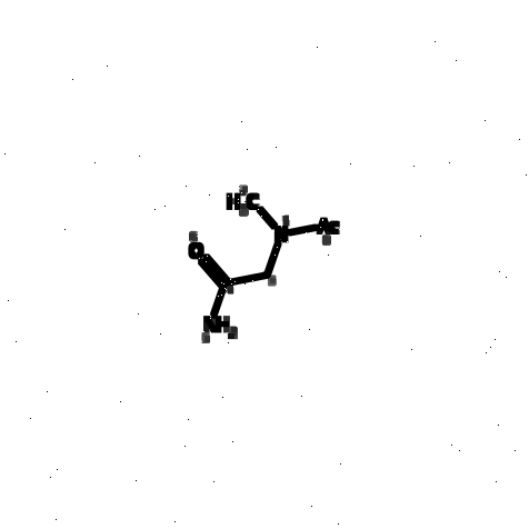 CC(=O)N(C)CC(N)=O